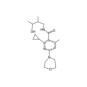 Cc1cc(N2CCOCC2)nc(C2CC2)c1C(=O)NCC(C)C(C)O